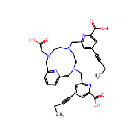 CCC#Cc1cc(CN2CCN(CC(=O)O)Cc3cccc(n3)CN(Cc3cc(C#CCC)cc(C(=O)O)n3)CC2)nc(C(=O)O)c1